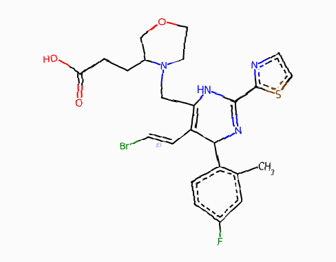 Cc1cc(F)ccc1C1N=C(c2nccs2)NC(CN2CCOCC2CCC(=O)O)=C1/C=C/Br